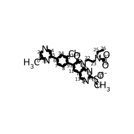 Cc1cncc(-c2ccc(-c3cc4cnc([S+](C)[O-])nc4n(CCN4CCOC4=O)c3=O)c(Cl)c2)n1